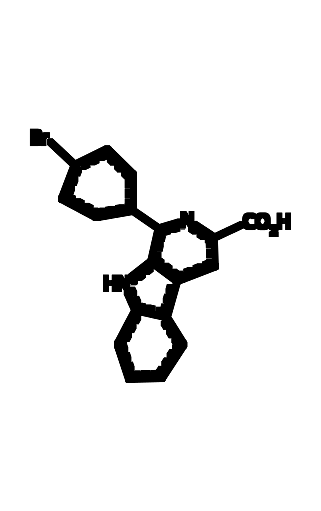 O=C(O)c1cc2c([nH]c3ccccc32)c(-c2ccc(Br)cc2)n1